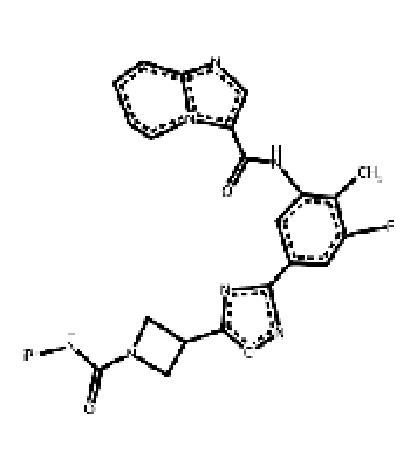 Cc1c(F)cc(-c2noc(C3CN(C(=O)NC(C)C)C3)n2)cc1NC(=O)c1cnc2ccccn12